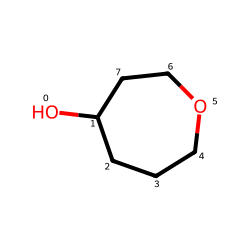 OC1CCCOCC1